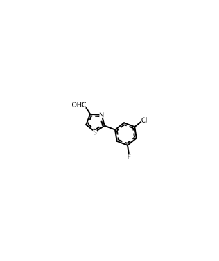 O=Cc1csc(-c2cc(F)cc(Cl)c2)n1